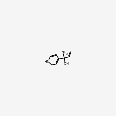 C=CC(N)(O)C1=CCNC=C1